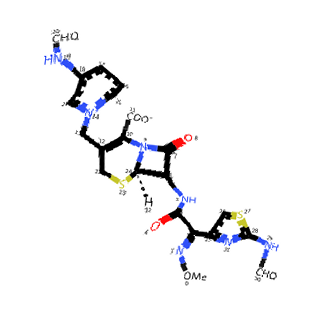 CO/N=C(/C(=O)NC1C(=O)N2C(C(=O)[O-])=C(C[n+]3cccc(NC=O)c3)CS[C@H]12)c1csc(NC=O)n1